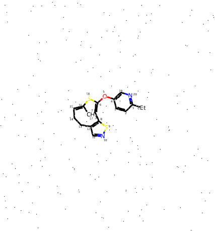 CCc1ccc(O/C2=C\c3sncc3CC/C=C(\C)S2)cn1